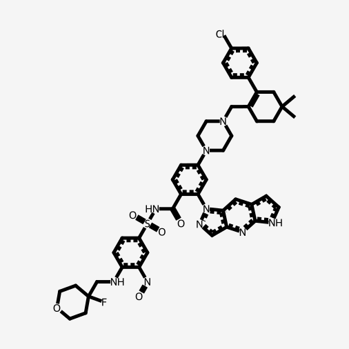 CC1(C)CCC(CN2CCN(c3ccc(C(=O)NS(=O)(=O)c4ccc(NCC5(F)CCOCC5)c(N=O)c4)c(-n4ncc5nc6[nH]ccc6cc54)c3)CC2)=C(c2ccc(Cl)cc2)C1